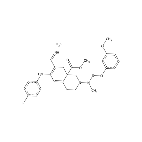 COC(=O)C12CC(C=N)=C(Nc3ccc(F)cc3)C=C1CCN(N(C)SOc1cccc(OC)c1)C2.S